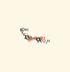 CCCCCCCCCCCCCCCc1ccc(S(=O)(=O)CCCOc2ccc(C(=O)O)c(O)c2)cc1